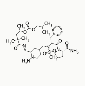 CC(C)COC(=O)OC(C)CC(C)(C)C(=O)N=CC1CC(CN([C@H](Cc2ccccc2)C(=O)N2CCC[C@H]2C(N)=O)S(C)(=O)=O)CCN1N